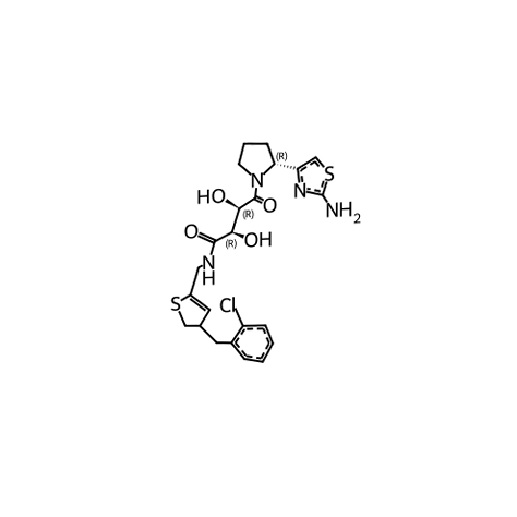 Nc1nc([C@H]2CCCN2C(=O)[C@H](O)[C@@H](O)C(=O)NCC2=CC(Cc3ccccc3Cl)CS2)cs1